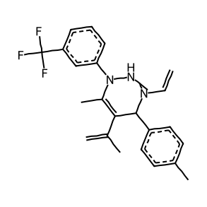 C=CN(C)C(/C(C(=C)C)=C(/C)N(NC)c1cccc(C(F)(F)F)c1)c1ccc(C)cc1